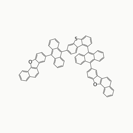 c1ccc2c(c1)ccc1c3cc(-c4c5ccccc5c(-c5ccc6c(c5)sc5cccc(-c7c8ccccc8c(-c8ccc9oc%10c%11ccccc%11ccc%10c9c8)c8ccccc78)c56)c5ccccc45)ccc3oc21